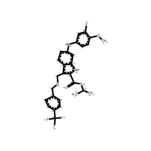 COc1ccc(Nc2ccc3c(COCc4ccc(C(F)(F)F)cc4)c(C(=O)OC(C)C)[nH]c3c2)cc1F